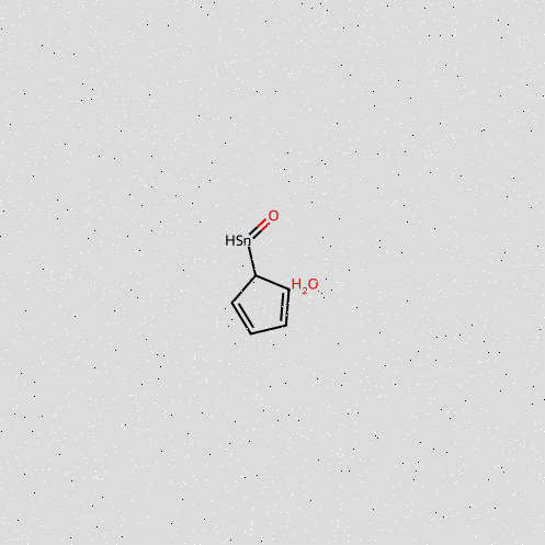 O.[O]=[SnH][CH]1C=CC=C1